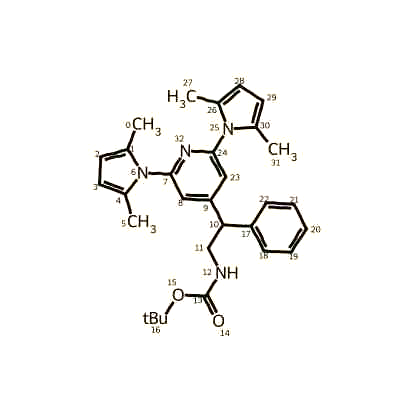 Cc1ccc(C)n1-c1cc(C(CNC(=O)OC(C)(C)C)c2ccccc2)cc(-n2c(C)ccc2C)n1